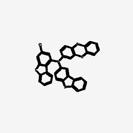 Clc1cc(N(c2ccc3c(c2)Sc2ccccc2S3)c2ccc3sc4ccccc4c3c2)c2c(c1)sc1ccccc12